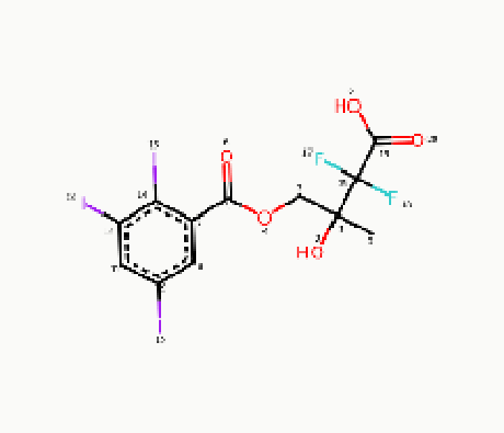 CC(O)(COC(=O)c1cc(I)cc(I)c1I)C(F)(F)C(=O)O